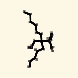 CCCCCCC(CO)(CCCCC)[N+](=O)[O-]